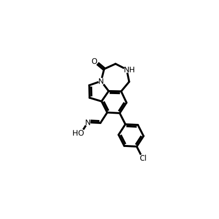 O=C1CNCc2cc(-c3ccc(Cl)cc3)c(C=NO)c3ccn1c23